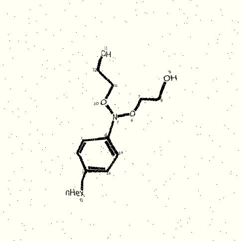 CCCCCCc1ccc(N(OCCO)OCCO)cc1